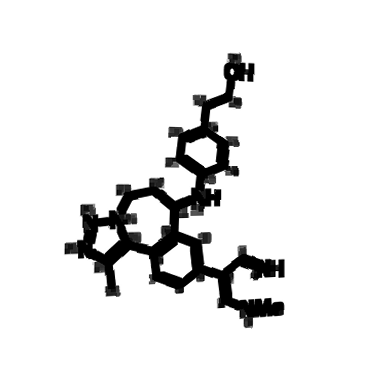 CN/C=C(\C=N)c1ccc2c(c1)C(Nc1ccc(CCO)cc1)CCn1nnc(C)c1-2